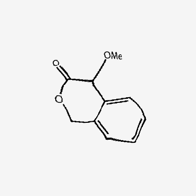 COC1C(=O)OCc2ccccc21